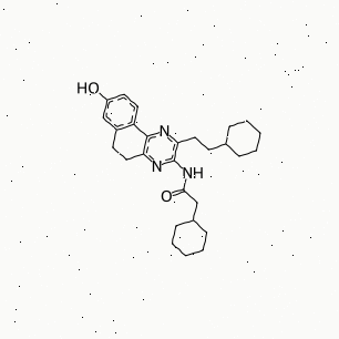 O=C(CC1CCCCC1)Nc1nc2c(nc1CCC1CCCCC1)-c1ccc(O)cc1CC2